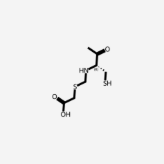 CC(=O)[C@H](CS)NCSCC(=O)O